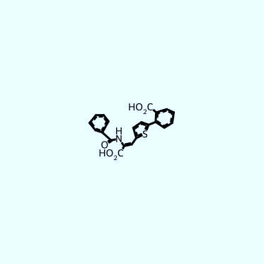 O=C(O)C(=Cc1ccc(-c2ccccc2C(=O)O)s1)NC(=O)c1ccccc1